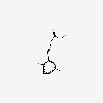 N=C(NO)NN=Cc1cc(Br)ccc1O